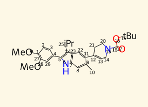 COc1ccc(-c2[nH]c3cc(C)c(C4=CCN(C(=O)OC(C)(C)C)CC4)cc3c2C(C)C)cc1OC